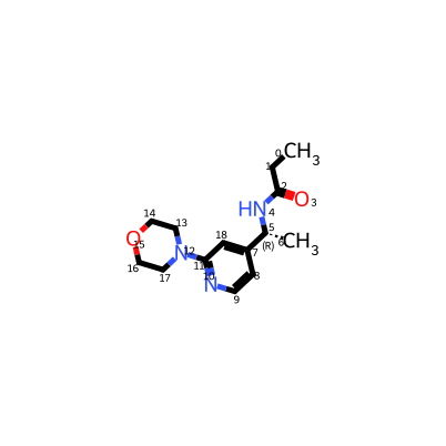 CCC(=O)N[C@H](C)c1ccnc(N2CCOCC2)c1